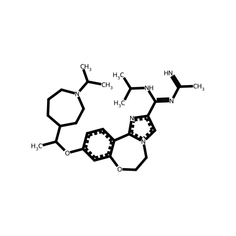 CC(=N)/N=C(\NC(C)C)c1cn2c(n1)-c1ccc(OC(C)C3CCCN(C(C)C)CC3)cc1OCC2